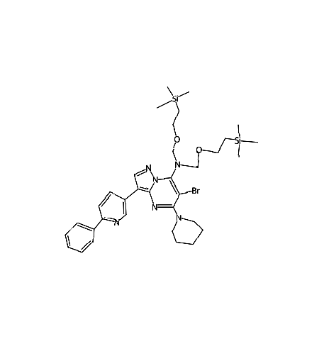 C[Si](C)(C)CCOCN(COCC[Si](C)(C)C)c1c(Br)c(N2CCCCC2)nc2c(-c3ccc(-c4ccccc4)nc3)cnn12